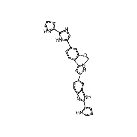 c1c[nH]c(-c2ncc(-c3ccc4c(c3)OCn3nc(-c5ccc6nc(-c7ccc[nH]7)[nH]c6c5)cc3-4)[nH]2)c1